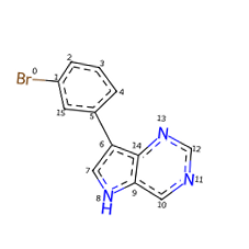 Brc1cccc(-c2c[nH]c3cncnc23)c1